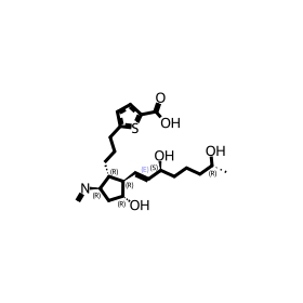 C=N[C@@H]1C[C@@H](O)[C@H](/C=C/[C@@H](O)CCC[C@@H](C)O)[C@H]1CCCc1ccc(C(=O)O)s1